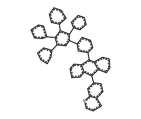 c1ccc(-c2cc(-c3cccc(-c4c5ccccc5c(-c5ccc6cccnc6c5)c5ccccc45)c3)c(-c3ccccc3)c(-c3ccccc3)c2-c2ccccc2)cc1